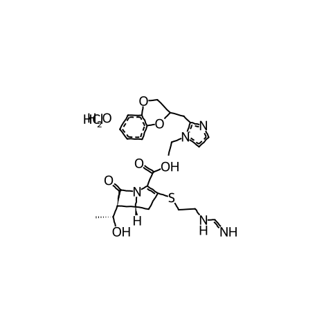 CCn1ccnc1CC1COc2ccccc2O1.C[C@@H](O)[C@H]1C(=O)N2C(C(=O)O)=C(SCCNC=N)C[C@H]12.Cl.O